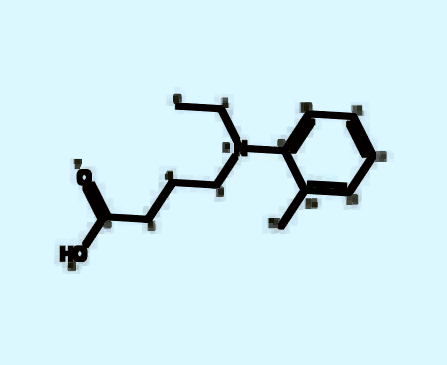 CCN(CCCC(=O)O)c1ccccc1C